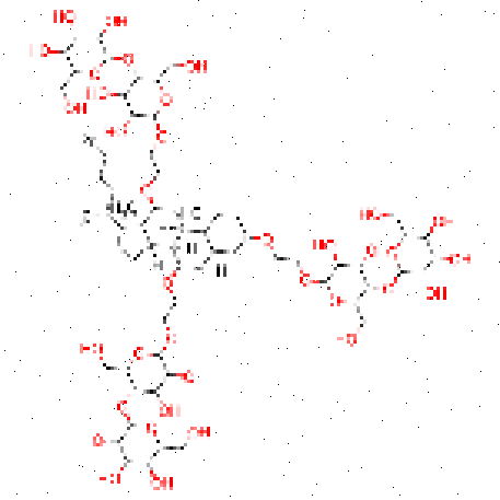 CC(C)CCC[C@@H](C)[C@H]1CC[C@H]2[C@@H]3[C@H](OCCO[C@@H]4OC(CO)[C@@H](O[C@H]5OC(CO)[C@@H](O)C(O)[C@@H]5O)C(O)[C@@H]4O)C[C@@H]4C[C@H](OCCO[C@@H]5OC(CO)[C@@H](O[C@H]6OC(CO)[C@@H](O)C(O)[C@@H]6O)C(O)[C@@H]5O)CC[C@]4(C)[C@H]3C[C@H](OCCO[C@@H]3OC(CO)[C@@H](O[C@H]4OC(CO)[C@@H](O)[C@H](O)C4O)C(O)C3O)[C@]12C